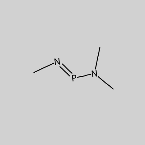 CN=PN(C)C